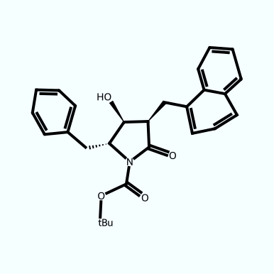 CC(C)(C)OC(=O)N1C(=O)[C@H](Cc2cccc3ccccc23)[C@H](O)[C@H]1Cc1ccccc1